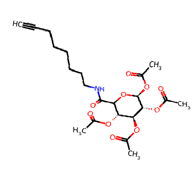 C#CCCCCCCNC(=O)C1O[C@@H](OC(C)=O)[C@H](OC(C)=O)[C@@H](OC(C)=O)[C@@H]1OC(C)=O